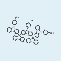 CC(C)(C)c1ccc(-n2c3ccccc3c3cc(C4(c5ccc6c(c5)c5cc(C7(c8ccc9c(c8)c8ccccc8n9-c8ccc(C(C)(C)C)cc8)c8ccccc8-c8ccccc87)ccc5n6-c5ccc(C(C)(C)C)cc5)c5ccccc5-c5ccccc54)ccc32)cc1